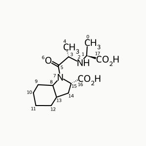 C[C@H](N[C@@H](C)C(=O)N1C2CCCCC2C[C@H]1C(=O)O)C(=O)O